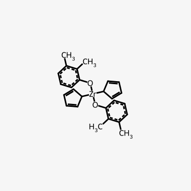 Cc1cccc([O][Zr]([O]c2cccc(C)c2C)([CH]2C=CC=C2)[CH]2C=CC=C2)c1C